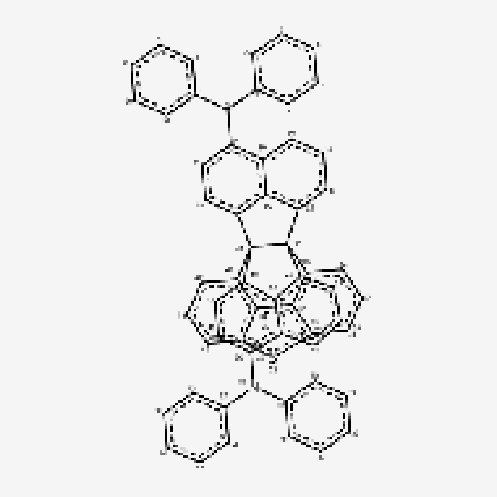 c1ccc(C(c2ccccc2)c2ccc3c4c(cccc24)C24c5cccc6c(N(c7ccccc7)c7ccccc7)ccc(c56)C32c2cccc3sc5cccc4c5c23)cc1